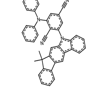 CC1(C)c2ccccc2-c2cc3c4ccccc4n(-c4cc(C#N)cc(N(c5ccccc5)c5ccccc5)c4C#N)c3cc21